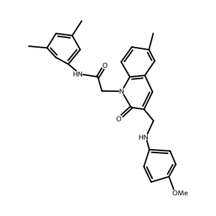 COc1ccc(NCc2cc3cc(C)ccc3n(CC(=O)Nc3cc(C)cc(C)c3)c2=O)cc1